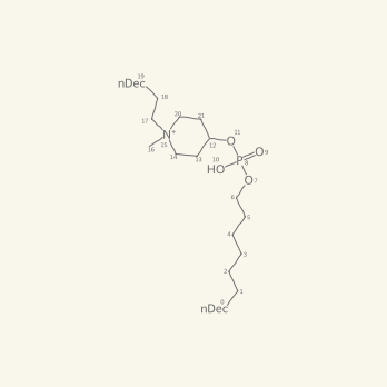 CCCCCCCCCCCCCCCCOP(=O)(O)OC1CC[N+](C)(CCCCCCCCCCCC)CC1